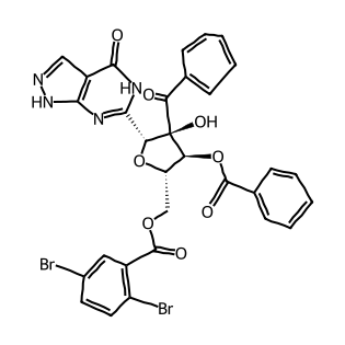 O=C(O[C@H]1[C@H](COC(=O)c2cc(Br)ccc2Br)O[C@H](c2nc3[nH]ncc3c(=O)[nH]2)[C@]1(O)C(=O)c1ccccc1)c1ccccc1